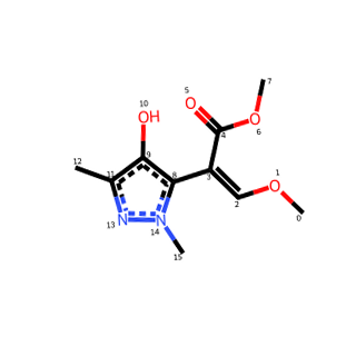 CO/C=C(\C(=O)OC)c1c(O)c(C)nn1C